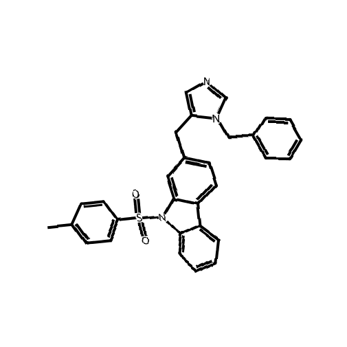 Cc1ccc(S(=O)(=O)n2c3ccccc3c3ccc(Cc4cncn4Cc4ccccc4)cc32)cc1